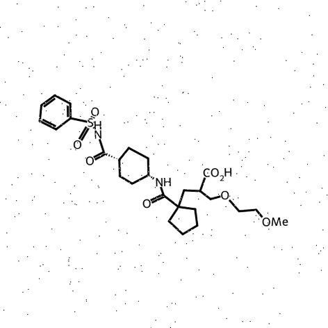 COCCOCC(CC1(C(=O)N[C@H]2CC[C@@H](C(=O)NS(=O)(=O)c3ccccc3)CC2)CCCC1)C(=O)O